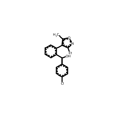 CCc1noc(C)c1-c1ccccc1C(O)c1ccc(Cl)cc1